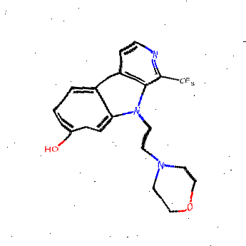 Oc1ccc2c3ccnc(C(F)(F)F)c3n(CCN3CCOCC3)c2c1